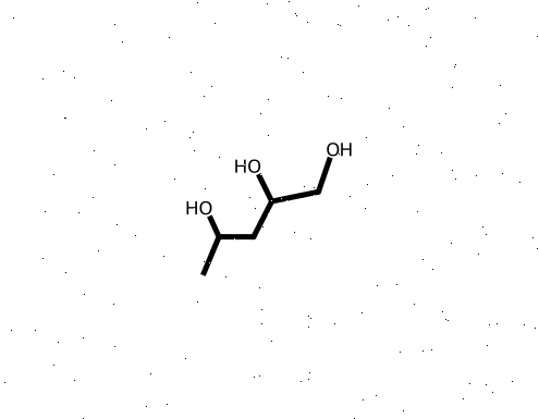 CC(O)CC(O)CO